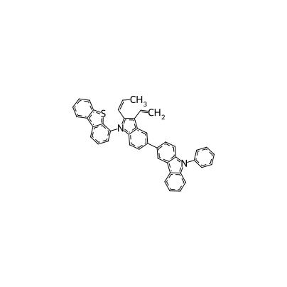 C=Cc1c(/C=C\C)n(-c2cccc3c2sc2ccccc23)c2ccc(-c3ccc4c(c3)c3ccccc3n4-c3ccccc3)cc12